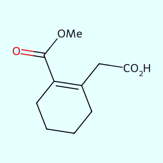 COC(=O)C1=C(CC(=O)O)CCCC1